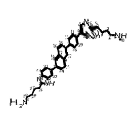 CNCCCCc1ncc(-c2ccc(-c3ccc4cc(-c5ccc6nc(CCCCN)[nH]c6c5)ccc4c3)cc2)[nH]1